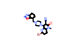 Cn1c(=O)c(C#N)c(N2CCN(Cc3cccc4nnoc34)CC2)c2nc(Br)ccc21